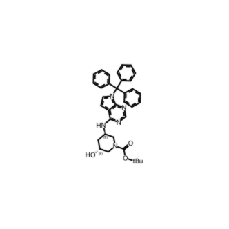 CC(C)(C)OC(=O)N1C[C@H](O)C[C@@H](Nc2ncnc3c2ccn3C(c2ccccc2)(c2ccccc2)c2ccccc2)C1